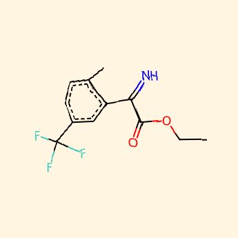 CCOC(=O)C(=N)c1cc(C(F)(F)F)ccc1C